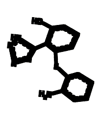 Nc1ccccc1Sc1cccc(O)c1-c1nnn[nH]1